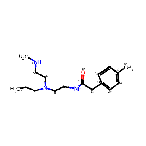 CCCN(CCNC)CCNC(=O)Cc1ccc(C)cc1